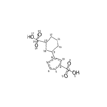 O=S(=O)(O)c1cccc(C2CCCC(S(=O)(=O)O)C2)c1